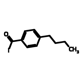 CCCCc1ccc(C(=O)I)cc1